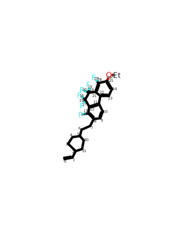 C=CC1CCC(CCc2ccc3c(c2F)C(F)(F)C(F)(F)c2c-3ccc(OCC)c2F)CC1